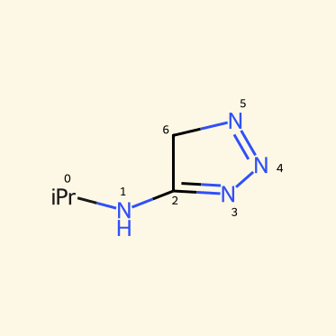 CC(C)NC1=NN=NC1